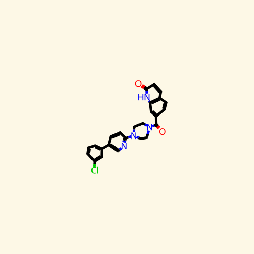 O=C(c1ccc2ccc(=O)[nH]c2c1)N1CCN(c2ccc(-c3cccc(Cl)c3)cn2)CC1